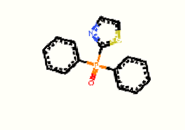 O=P(c1ccccc1)(c1ccccc1)c1nccs1